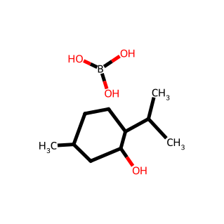 CC1CCC(C(C)C)C(O)C1.OB(O)O